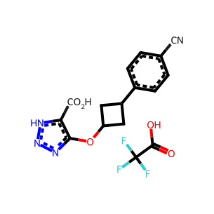 N#Cc1ccc(C2CC(Oc3nn[nH]c3C(=O)O)C2)cc1.O=C(O)C(F)(F)F